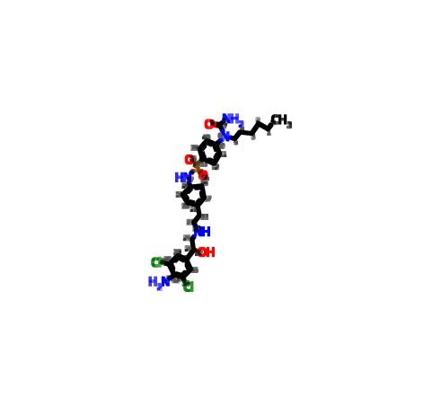 CCCCCCN(C(N)=O)c1ccc(S(=O)(=O)Nc2ccc(CCNCC(O)c3cc(Cl)c(N)c(Cl)c3)cc2)cc1